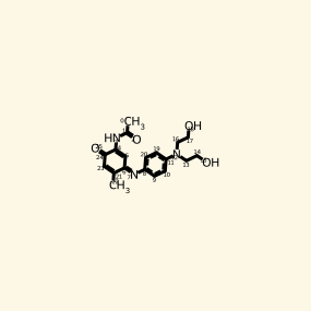 CC(=O)NC1=CC(=Nc2ccc(N(CCO)CCO)cc2)C(C)=CC1=O